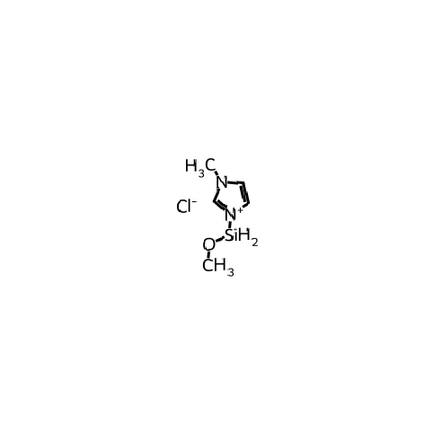 CO[SiH2][n+]1ccn(C)c1.[Cl-]